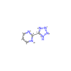 [c]1ccnc(-c2nnn[nH]2)n1